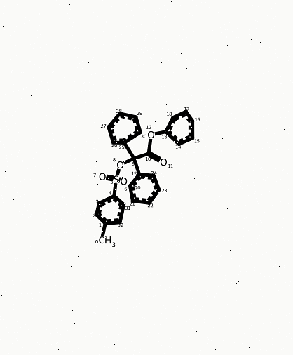 Cc1ccc(S(=O)(=O)OC(C(=O)Oc2ccccc2)(c2ccccc2)c2ccccc2)cc1